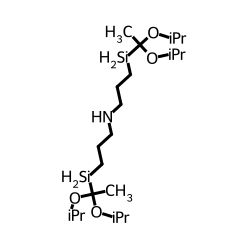 CC(C)OC(C)(OC(C)C)[SiH2]CCCNCCC[SiH2]C(C)(OC(C)C)OC(C)C